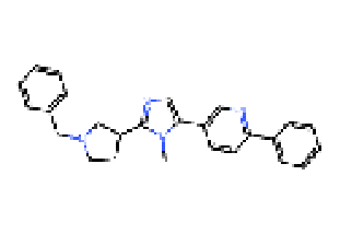 Cn1c(-c2ccc(-c3ccccc3)nc2)cnc1C1CCN(Cc2ccccc2)C1